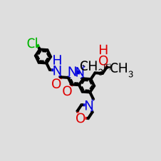 C[C@H](O)CCc1cc(CN2CCOCC2)cc2c(=O)c(C(=O)NCc3ccc(Cl)cc3)nn(C)c12